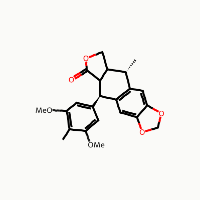 COc1cc([C@@H]2c3cc4c(cc3[C@@H](C)C3COC(=O)C32)OCO4)cc(OC)c1C